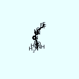 N=C(N)NC(=O)OCc1cccc(-c2cnc(OCCCC(F)(F)F)nc2)n1